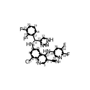 N#Cc1cnc2c(Cl)cc(N[C@H](c3c[nH]nn3)c3cccc(F)c3F)cc2c1Nc1cnc(F)c(F)c1